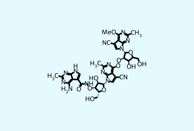 COc1nc(C)nc2c1c(C#N)cn2[C@@H]1OC(CO)[C@@H](O)[C@H]1OOc1nc(C)nc2c1c(C#N)cn2[C@@H]1O[C@H](CO)[C@@H](ONC(=O)c2c[nH]c3nc(C)nc(N)c23)[C@H]1O